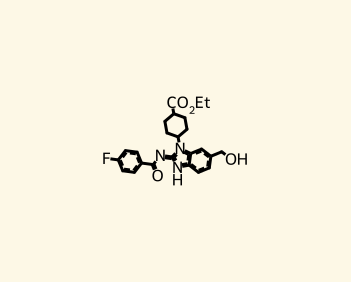 CCOC(=O)C1CCC(n2/c(=N/C(=O)c3ccc(F)cc3)[nH]c3ccc(CO)cc32)CC1